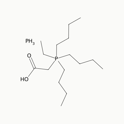 CCCCP(CC)(CCCC)(CCCC)CC(=O)O.P